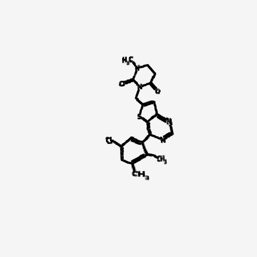 Cc1cc(Cl)cc(-c2ncnc3cc(CN4C(=O)CCN(C)C4=O)sc23)c1C